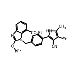 CCCOc1nc2cccc(C(=O)OCC)c2n1Cc1ccc(-c2[nH]c(C)c(CC)c2C#N)cc1